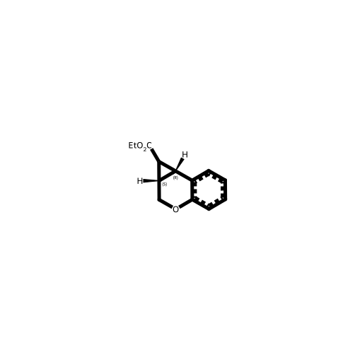 CCOC(=O)C1[C@H]2COc3ccccc3[C@@H]12